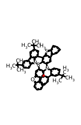 CC(C)(C)c1ccc(N2c3cc4c(cc3B3c5c2cc2c(sc6ccccc62)c5-c2cc(C(C)(C)C)cc5c6cc(C(C)(C)C)ccc6n3c25)oc2ccccc24)c(-c2ccccc2)c1